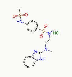 CN(CCN(C)S(=O)(=O)c1ccc(NS(C)(=O)=O)cc1)c1nc2ccccc2[nH]1.Cl